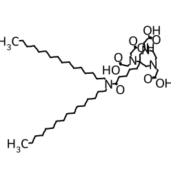 CCCCCCCCCCCCCCCCN(CCCCCCCCCCCCCCCC)C(=O)CCCCC1(N(CC(=O)O)CC(=O)O)CN(CC(=O)O)CCN(CC(=O)O)C1